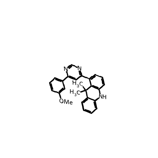 COc1cccc(-c2cc(-c3cccc4c3C(C)(C)c3ccccc3N4)ncn2)c1